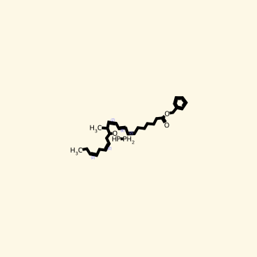 CC/C=C\C/C=C\CC(OPP)C(C)\C=C/C=C/C=C\CCCCCC(=O)OCc1ccccc1